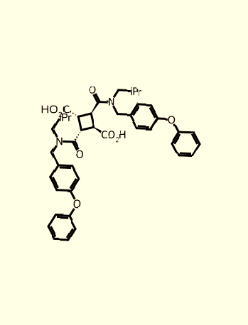 CC(C)CN(Cc1ccc(Oc2ccccc2)cc1)C(=O)[C@H]1[C@H](C(=O)O)[C@H](C(=O)N(Cc2ccc(Oc3ccccc3)cc2)CC(C)C)[C@H]1C(=O)O